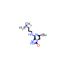 CN(C)CCCNc1nc(C(C)(C)C)cn2c(=O)[nH]nc12